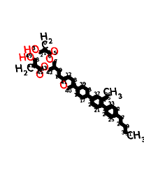 C=C(CO)C(=O)OCC(CCC1CCC(C2CCC(c3ccc(-c4ccc(CCCCC)cc4)c(CC)c3)CC2)CO1)COC(=O)C(=C)CO